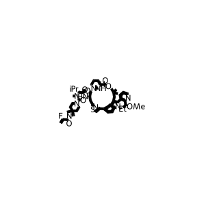 C=C(F)C(=O)N1CC2(CCN(C(=O)N(C)C(C(=O)N[C@H]3Cc4nc(cs4)-c4ccc5c(c4)c(c(-c4cccnc4[C@H](C)OC)n5CC)CC(C)(C)COC(=O)[C@@H]4CCCN(N4)C3=O)C(C)C)CC2)C1